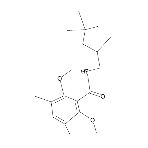 COc1c(C)cc(C)c(OC)c1C(=O)PCC(C)CC(C)(C)C